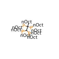 CCCCCCCCP(CCCCCCCC)C(P(CCCCCCCC)CCCCCCCC)C(C)(P(CCCCCCCC)CCCCCCCC)P(CCCCCCCC)CCCCCCCC